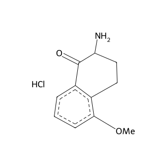 COc1cccc2c1CCC(N)C2=O.Cl